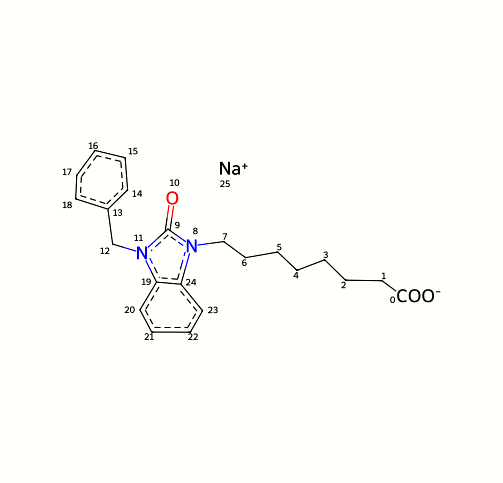 O=C([O-])CCCCCCCn1c(=O)n(Cc2ccccc2)c2ccccc21.[Na+]